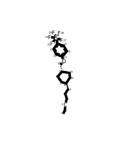 CCCCCC[C@H]1CC[C@H](COc2ccc(S(F)(F)(F)(F)F)cc2)CC1